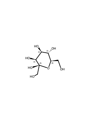 OC[C@H]1O[C@](O)(CO)[C@@H](O)[C@@H](O)[C@@H]1O